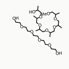 COCC(C)OCC(C)OCC(C)OCC(C)OCC(C)OCC(C)O.OCCOCCOCCOCCOCCO